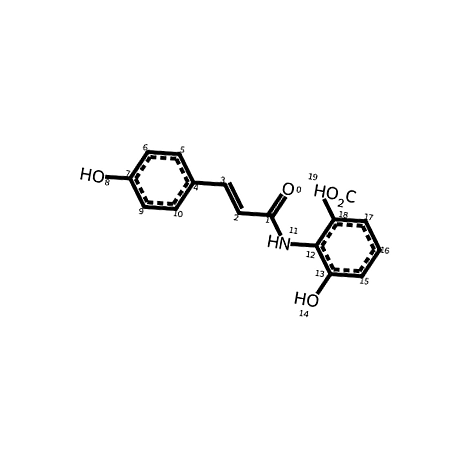 O=C(/C=C/c1ccc(O)cc1)Nc1c(O)cccc1C(=O)O